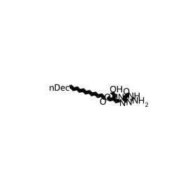 CCCCCCCCCCCCCCCCCCCCCC(=O)OCC(CCO)Cc1nc2nc(N)[nH]c(=O)c2[nH]1